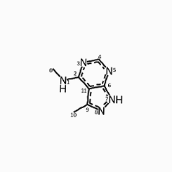 CNc1ncnc2[nH]nc(C)c12